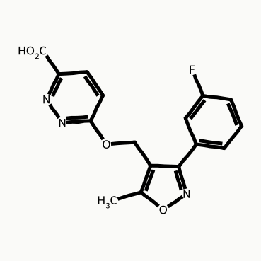 Cc1onc(-c2cccc(F)c2)c1COc1ccc(C(=O)O)nn1